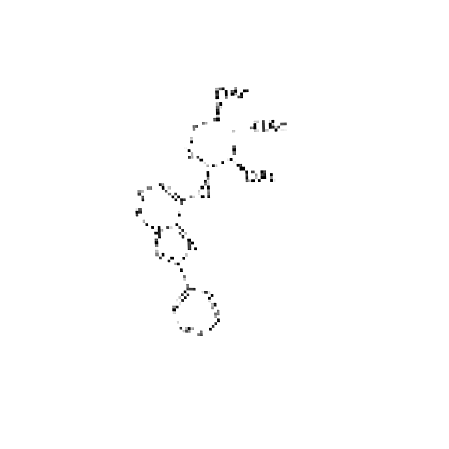 CC(=O)O[C@@H]1[C@@H](OC(C)=O)[C@@H](Oc2cccn3cc(-c4ccccc4)nc23)SC[C@H]1OC(C)=O